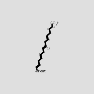 CCCCCC=CCC=CCC=CCC=CCCCC(=O)O.[Cr]